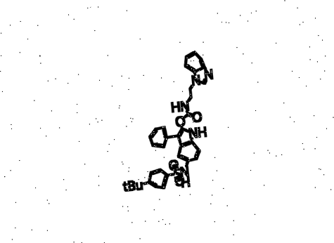 CC(C)(C)c1ccc(S(=O)(=O)Nc2ccc3[nH]c(OC(=O)NCCn4cnc5ccccc54)c(-c4ccccc4)c3c2)cc1